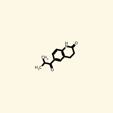 CC(C)C(=O)c1ccc2c(c1)CCC(=O)N2